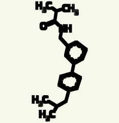 CC(C)Cc1ccc(-c2cccc(CNC(=O)C(C)C)c2)cc1